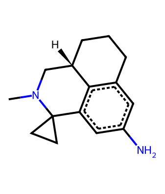 CN1C[C@@H]2CCCc3cc(N)cc(c32)C12CC2